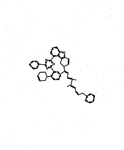 CC(=C\C=C/Cc1ccccc1)/C(C)=C/C=C(\C)C1C=Cc2sc3cccc(-c4nc(-c5ccccc5)nc(-c5ccccc5C5CC=CCC5)n4)c3c2C1